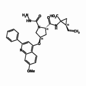 C=C[C@@H]1CC1(NC(=O)[C@@H]1C[C@@H](Oc2cc(-c3ccccc3)nc3cc(OC)ccc23)CN1C(=O)NN)C(=O)O